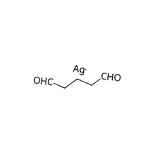 O=CCCCC=O.[Ag]